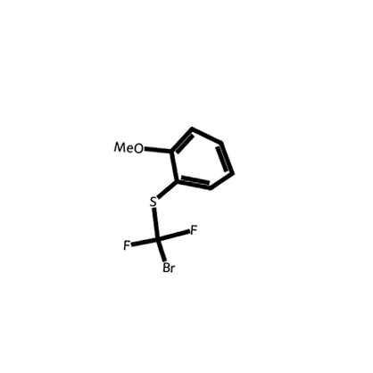 COc1ccccc1SC(F)(F)Br